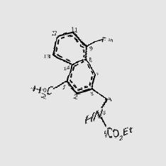 [CH2]c1cc(CNC(=O)OCC)cc2c(F)cccc12